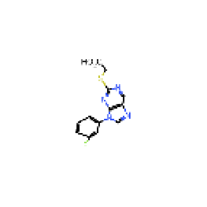 O=C(O)CSc1ncc2ncn(-c3cccc(F)c3)c2n1